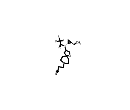 CC[C@@H]1C[C@H]1N(C(=O)C(F)(F)F)C1COC2(CCN(CCC#N)CC2)C1